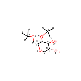 B[C@@H]1CO[C@H](COC(C)(C)C)C(OC(C)(C)C)C1O